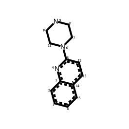 c1ccc2nc(N3CC[N]CC3)ccc2c1